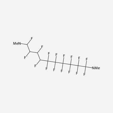 CNC(F)C(F)C(F)C(F)C(F)(F)C(F)(F)C(F)(F)C(F)(F)C(F)(F)C(F)(F)NC